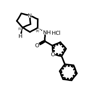 Cl.O=C(N[C@@H]1C[C@@H]2CCN(C2)C1)c1ccc(-c2ccccc2)o1